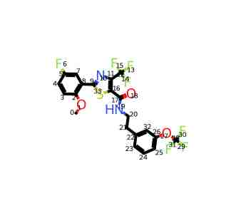 COc1ccc(F)cc1-c1nc(C(F)(F)F)c(C(=O)NCCc2cccc(OC(F)(F)F)c2)s1